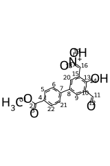 COC(=O)c1ccc(-c2cc(C=O)c(O)c(/C=[N+](\[O-])O)c2)cc1